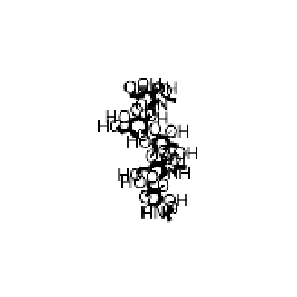 CC(=O)NC1C(O)[C@H](O)C(CO)O[C@H]1OC1C(OC2C(O)[C@H](O[C@@H]3C(CO)O[C@@H](O[C@@H]4C(CO)O[C@@H](C)C(NC(C)=O)C4O)C(NC(C)=O)C3O)OC(CO)[C@H]2O)OCC(CO)[C@@H](O)C1O